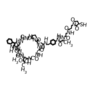 CC[C@H](C)[C@@H]1NC(=O)CNC(=O)[C@H](Cc2c(SC)[nH]c3ccccc23)NC(=O)NC[C@@H]2CCCN2C(=O)[C@H](CC(=O)NCc2ccc(NC(=O)[C@H](C)NC(=O)CNC(=O)CCN3C(=O)CC(S)C3=O)cc2)NC(=O)CNC(=O)CNC1=O